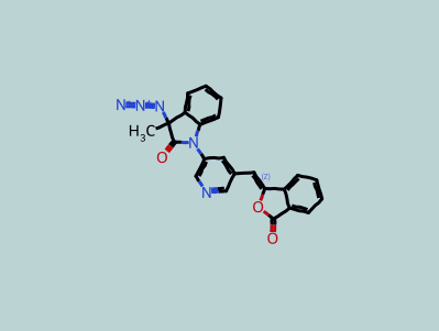 CC1(N=[N+]=[N-])C(=O)N(c2cncc(/C=C3\OC(=O)c4ccccc43)c2)c2ccccc21